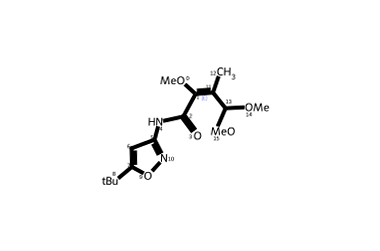 CO/C(C(=O)Nc1cc(C(C)(C)C)on1)=C(\C)C(OC)OC